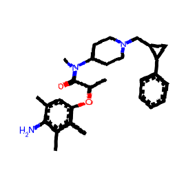 Cc1cc(OC(C)C(=O)N(C)C2CCN(CC3CC3c3ccccc3)CC2)c(C)c(C)c1N